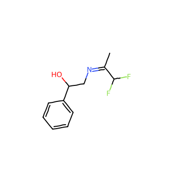 CC(=NCC(O)c1ccccc1)C(F)F